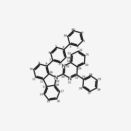 c1ccc(-c2ccc(-c3cccc4c5ccccc5n(-c5nc(-c6ccccc6)c6ccccc6n5)c34)cc2)cc1